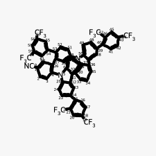 N#Cc1ccc(-n2c3ccccc3c3cc(-c4ccc(C(F)(F)F)cc4C(F)(F)F)ccc32)c(-c2cc(-n3c4ccccc4c4cc(-c5ccc(C(F)(F)F)cc5C(F)(F)F)ccc43)ccc2-c2cc(C(F)(F)F)cc(C(F)(F)F)c2)c1